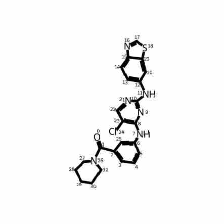 O=C(c1cccc(Nc2nc(Nc3ccc4ncsc4c3)ncc2Cl)c1)N1CCCCC1